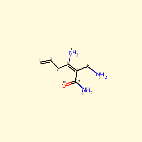 C=CCC(N)=C(CN)C(N)=O